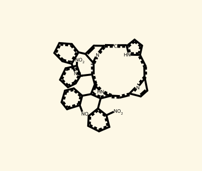 O=[N+]([O-])c1ccccc1C1=Cc2cc3ccc(cc4nc(cc5[nH]c(c(-c6ccccc6[N+](=O)[O-])c1n2)c(-c1ccccc1[N+](=O)[O-])c5-c1ccccc1[N+](=O)[O-])C=C4)[nH]3